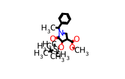 COC(=O)C1CN(C(C)c2ccccc2)C(=O)C1O[Si](C)(C)C(C)(C)C